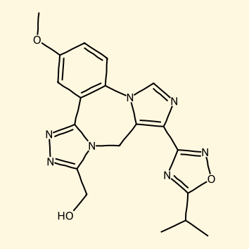 COc1ccc2c(c1)-c1nnc(CO)n1Cc1c(-c3noc(C(C)C)n3)ncn1-2